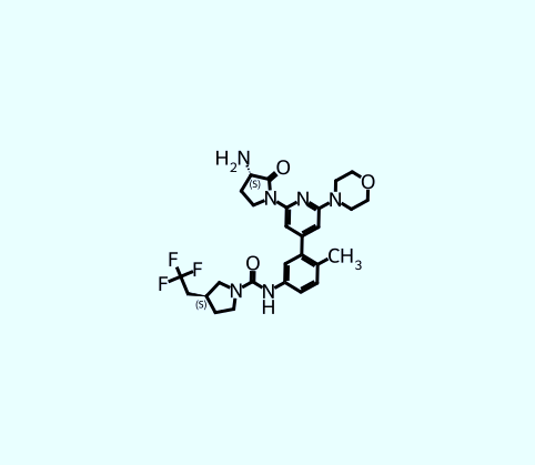 Cc1ccc(NC(=O)N2CC[C@@H](CC(F)(F)F)C2)cc1-c1cc(N2CCOCC2)nc(N2CC[C@H](N)C2=O)c1